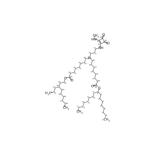 CCCCCCCCC(CCCCCCCC)OC(=O)CCCCCCCN(CCCCCCCC(=O)OCCC(CCC)CCCCCC)CCCNc1c(NC)c(=O)c1=O